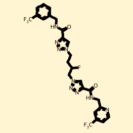 O=C(NCc1cccc(C(F)(F)F)c1)c1cn(CCC(F)Cn2cc(C(=O)NCc3cc(C(F)(F)F)ccn3)nn2)nn1